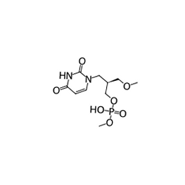 COC[C@@H](COP(=O)(O)OC)Cn1ccc(=O)[nH]c1=O